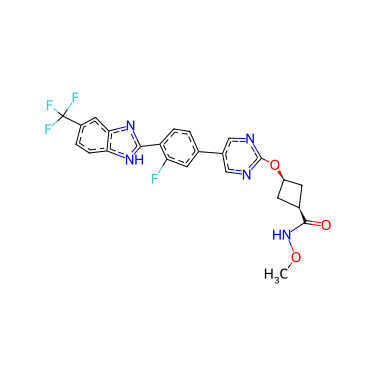 CONC(=O)[C@H]1C[C@@H](Oc2ncc(-c3ccc(-c4nc5cc(C(F)(F)F)ccc5[nH]4)c(F)c3)cn2)C1